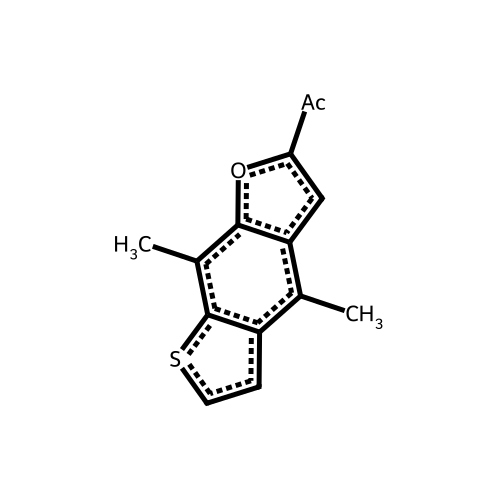 CC(=O)c1cc2c(C)c3ccsc3c(C)c2o1